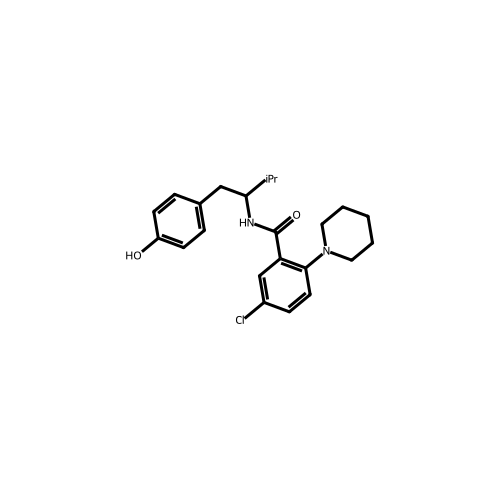 CC(C)C(Cc1ccc(O)cc1)NC(=O)c1cc(Cl)ccc1N1CCCCC1